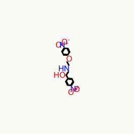 O=[N+]([O-])c1ccc(OCCNCC(O)c2ccc([N+](=O)[O-])cc2)cc1